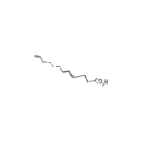 C=CCCCCCC=CCCC(=O)O